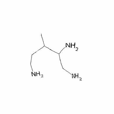 CC(CN)C(N)CN